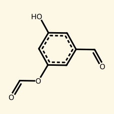 O=COc1cc(O)cc(C=O)c1